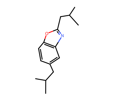 CC(C)Cc1ccc2oc(CC(C)C)nc2c1